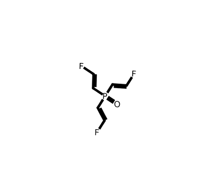 O=P(C=CF)(C=CF)C=CF